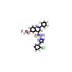 O=C(Nn1ccc(-c2ccccc2Cl)n1)c1cc(-c2ccccc2)nc2ccc(OC(F)(F)F)cc12